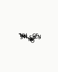 C=CCNC(=S)N1CCN(CCCCN2C(=S)N(c3ccc(C#N)c(C(F)(F)F)c3)C(=O)C2(C)C)CC1